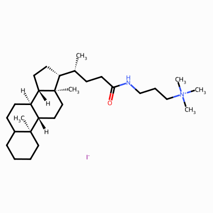 C[C@H](CCC(=O)NCCC[N+](C)(C)C)[C@H]1CC[C@H]2[C@@H]3CCC4CCCC[C@]4(C)[C@H]3CC[C@]12C.[I-]